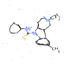 Cc1ccc2c(c1)C1CN(C)CCC1N2C(=S)NC1CCCCC1